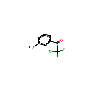 Cc1cccc(C(=O)C(F)(F)Cl)c1